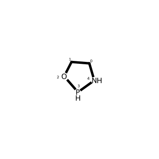 C1COPN1